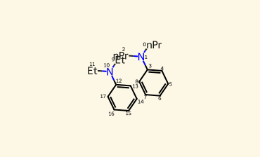 CCCN(CCC)c1ccccc1.CCN(CC)c1ccccc1